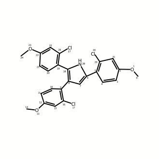 COc1ccc(-c2cc(-c3ccc(OC)cc3Cl)c(-c3ccc(OC)cc3Cl)[nH]2)c(Cl)c1